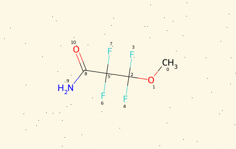 COC(F)(F)C(F)(F)C(N)=O